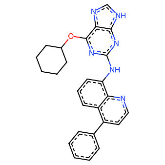 c1ccc(-c2ccnc3c(Nc4nc(OC5CCCCC5)c5nc[nH]c5n4)cccc23)cc1